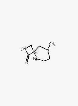 CN1CCN[C@@]2(CNC2=O)C1